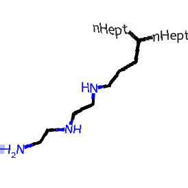 CCCCCCCC(CCCCCCC)CCCNCCNCCN